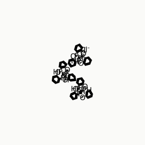 O=[PH](c1ccccc1)[Rh]([PH](=O)c1ccccc1)[PH](=O)c1ccccc1.O=[PH](c1ccccc1)[Rh]([PH](=O)c1ccccc1)[PH](=O)c1ccccc1.O=[PH](c1ccccc1)[Rh]([PH](=O)c1ccccc1)[PH](=O)c1ccccc1.[Cl-]